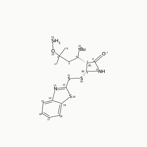 CC(C)(CC([C@@H]1C(=O)N[C@@H]1SSc1nc2ccccc2s1)C(C)(C)C)O[SiH3]